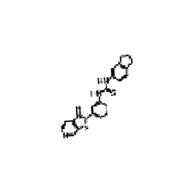 S=C(NC1=CC(C2Nc3ccncc3S2)=CCC1)Nc1ccc2c(c1)CCC2